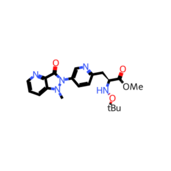 COC(=O)[C@H](Cc1ccc(-n2c(=O)c3ncccc3n2C)cn1)NOC(C)(C)C